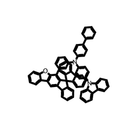 c1ccc(-c2ccc(N(c3ccc(-n4c5ccccc5c5ccccc54)cc3)c3cccc(-c4c5c(cc6c4oc4ccccc46)-c4ccccc4C54c5ccccc5-c5ccccc54)c3)cc2)cc1